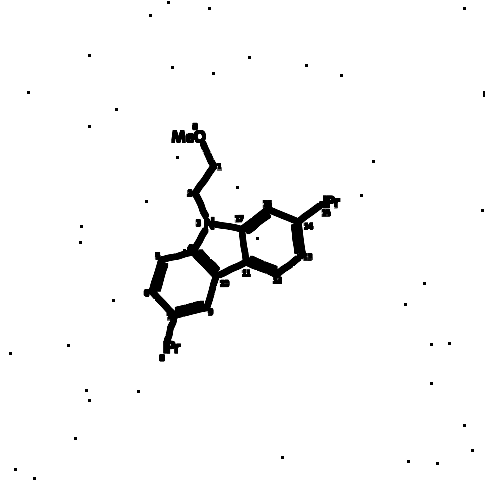 COCCn1c2ccc(C(C)C)cc2c2ccc(C(C)C)cc21